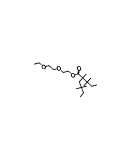 CCOCCOCCOC(=O)C(C)(CC(C)(C)CC)C(C)(C)CC